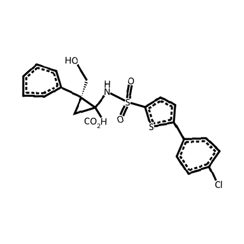 O=C(O)C1(NS(=O)(=O)c2ccc(-c3ccc(Cl)cc3)s2)C[C@@]1(CO)c1ccccc1